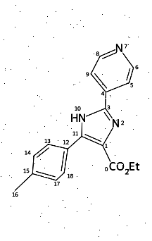 CCOC(=O)c1nc(-c2ccncc2)[nH]c1-c1ccc(C)cc1